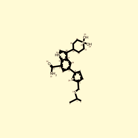 CC(C)SCc1ccc(-c2cc(C(N)=O)c3[nH]cc(C4CCS(O)(O)CC4)c3c2)s1